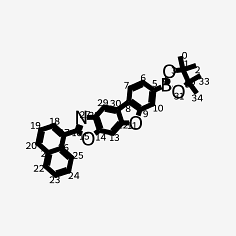 CC1(C)OB(c2ccc3c(c2)oc2cc4oc(-c5cccc6ccccc56)nc4cc23)OC1(C)C